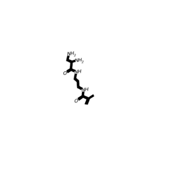 C=C(C)C(=O)NCCCNC(=O)C(N)CN